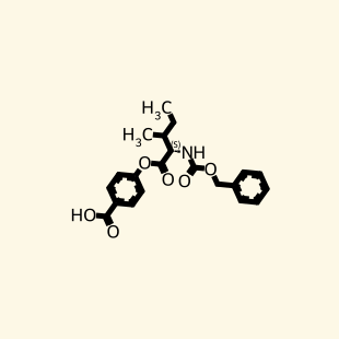 CCC(C)[C@H](NC(=O)OCc1ccccc1)C(=O)Oc1ccc(C(=O)O)cc1